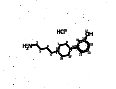 Cl.NCCCCN1CCN(c2cccc(O)c2)CC1